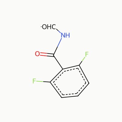 O=[C]NC(=O)c1c(F)cccc1F